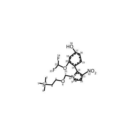 C[Si](C)(C)CCOCn1ncc([N+](=O)[O-])c1-c1ccc(O)cc1OC(F)F